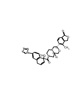 Cc1c([C@H]2CN3CCN(C(=O)C4(C=O)C=CCc5cc(-n6cnnn6)ccc54)C[C@H]3CO2)ccc2c1COC2=O